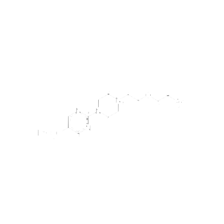 CCOC(=O)c1cnc(N2CCN(CCOCCC(C)=O)CC2)nc1